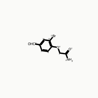 NC(=O)COc1ccc(C=O)cc1Br